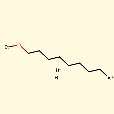 CCOCCCCCCC[CH2][Al+2].[H-].[H-]